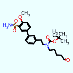 COc1ccc(-c2cccc(CCN(CCCCC=O)C(=O)OC(C)(C)C)c2)cc1S(N)(=O)=O